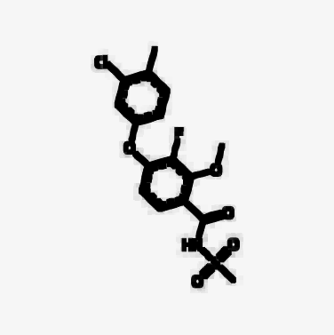 COc1c(C(=O)NS(C)(=O)=O)ccc(Oc2ccc(C)c(Cl)c2)c1F